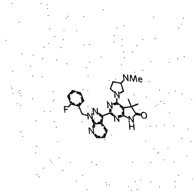 CNC1CCN(c2nc(-c3nn(Cc4ccccc4F)c4ncccc34)nc3c2C(C)(C)C(=O)N3)C1